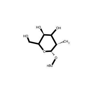 CCCCO[C@@H]1OC(CO)[C@@H](O)C(O)[C@@H]1C